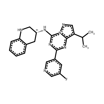 CC(C)c1cnn2c(N[C@H]3CNc4ccccc4C3)nc(-c3cncc(F)c3)nc12